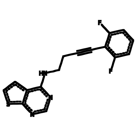 Fc1cccc(F)c1C#CCCNc1ncnc2sccc12